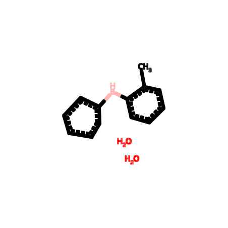 Cc1ccccc1Bc1ccccc1.O.O